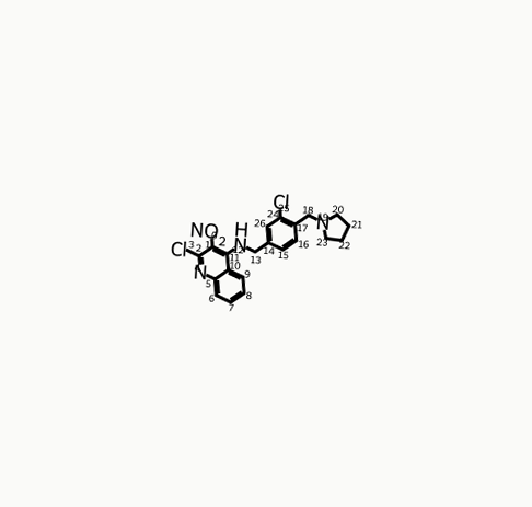 O=[N+]([O-])c1c(Cl)nc2ccccc2c1NCc1ccc(CN2CCCC2)c(Cl)c1